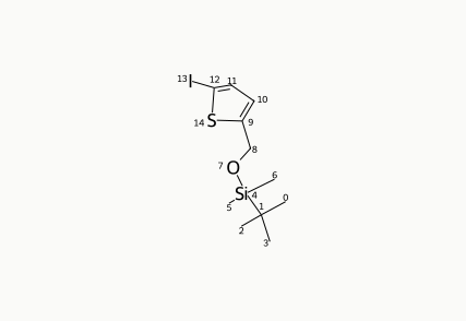 CC(C)(C)[Si](C)(C)OCc1ccc(I)s1